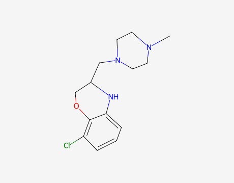 CN1CCN(CC2COc3c(Cl)cccc3N2)CC1